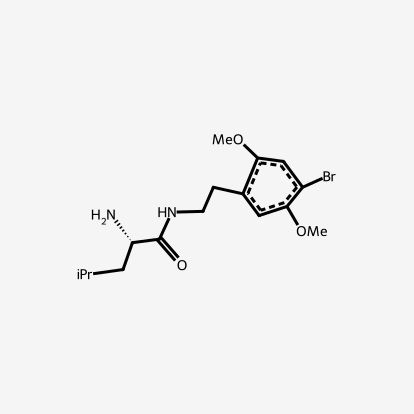 COc1cc(CCNC(=O)[C@@H](N)CC(C)C)c(OC)cc1Br